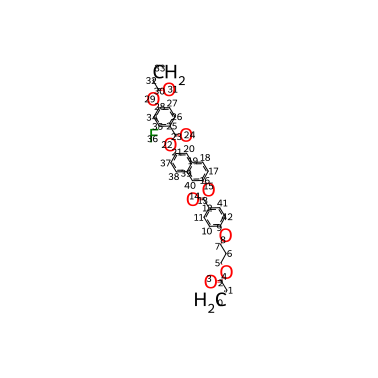 C=CC(=O)OCCCOc1ccc(C(=O)Oc2ccc3cc(OC(=O)c4ccc(OC(=O)C=C)cc4F)ccc3c2)cc1